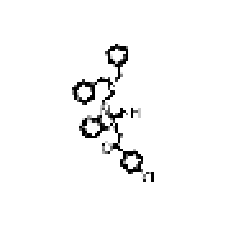 N=c1n(CCN(Cc2ccccc2)Cc2ccccc2)c2ccccc2n1CC(=O)c1ccc(Cl)cc1